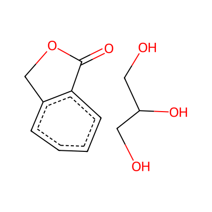 O=C1OCc2ccccc21.OCC(O)CO